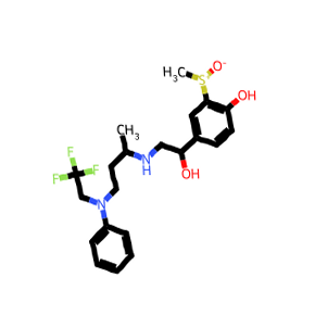 CC(CCN(CC(F)(F)F)c1ccccc1)NCC(O)c1ccc(O)c([S+](C)[O-])c1